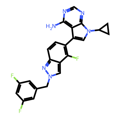 Nc1ncnc2c1c(-c1ccc3nn(Cc4cc(F)cc(F)c4)cc3c1F)cn2C1CC1